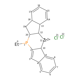 CCP1C2=Cc3ccccc3[CH]2[Zr+2][CH]2C3C=CC=CC3CC21.[Cl-].[Cl-]